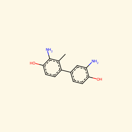 Cc1c(-c2ccc(O)c(N)c2)ccc(O)c1N